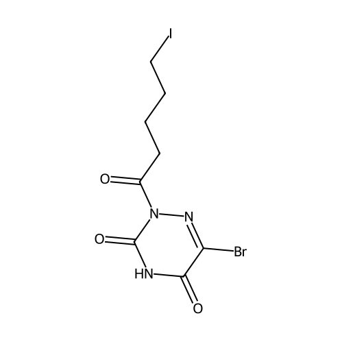 O=C(CCCCI)n1nc(Br)c(=O)[nH]c1=O